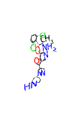 CCC(Oc1c(N)ncc2c(-c3cnn(C4CCNCC4)c3)coc12)c1c(Cl)cccc1Cl